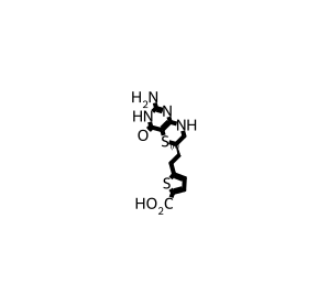 Nc1nc2c(c(=O)[nH]1)S[C@H](CCc1ccc(C(=O)O)s1)CN2